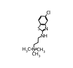 C[N+](C)(C)CCCNc1nc2cc(Cl)ccc2s1